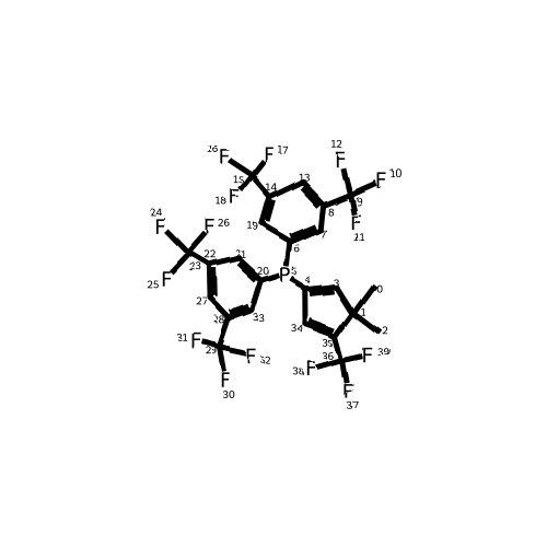 CC1(C)C=C(P(c2cc(C(F)(F)F)cc(C(F)(F)F)c2)c2cc(C(F)(F)F)cc(C(F)(F)F)c2)C=C1C(F)(F)F